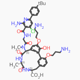 C[C@@H]1NC(=O)[C@@H](N(C)C(=O)CNC(=O)c2c(Cl)cc(-c3ccc(C(C)(C)C)cc3)nc2N)c2cc(OCCCN)c(O)c(c2)-c2cc(ccc2OCCCN)C[C@@H](C(=O)O)NC1=O